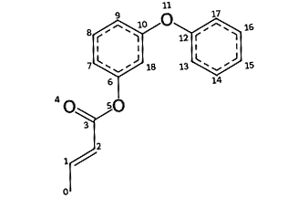 CC=CC(=O)Oc1cccc(Oc2ccccc2)c1